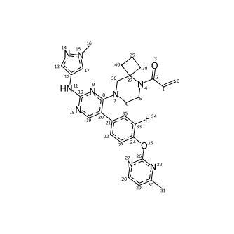 C=CC(=O)N1CCN(c2nc(Nc3cnn(C)c3)ncc2-c2ccc(Oc3nccc(C)n3)c(F)c2)CC12CCC2